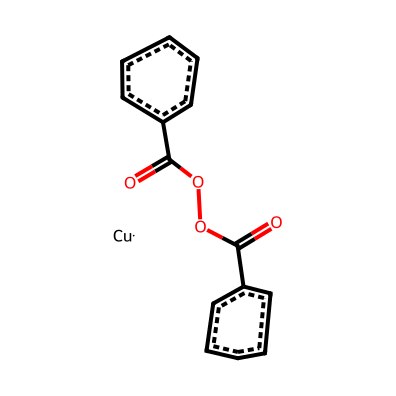 O=C(OOC(=O)c1ccccc1)c1ccccc1.[Cu]